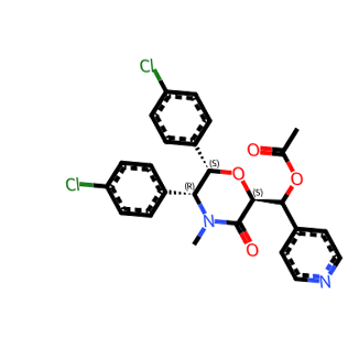 CC(=O)OC(c1ccncc1)[C@@H]1O[C@@H](c2ccc(Cl)cc2)[C@@H](c2ccc(Cl)cc2)N(C)C1=O